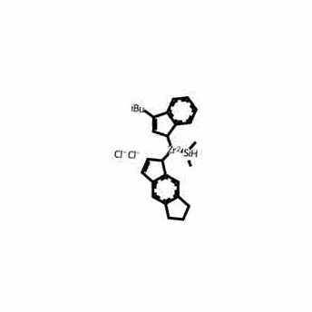 CCC(C)C1=C[CH]([Zr+2]([CH]2C=Cc3cc4c(cc32)CCC4)[SiH](C)C)c2ccccc21.[Cl-].[Cl-]